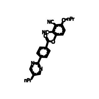 CCCOc1ccc(OC(=O)c2ccc(-c3ncc(CCC)cn3)cc2)c(C#N)c1C#N